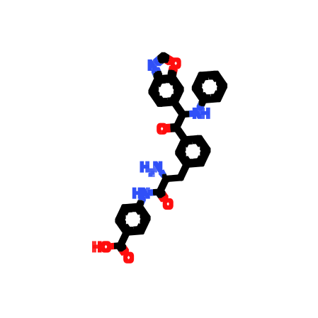 N[C@@H](Cc1cccc(C(=O)C(Nc2ccccc2)c2ccc3ncoc3c2)c1)C(=O)Nc1ccc(C(=O)O)cc1